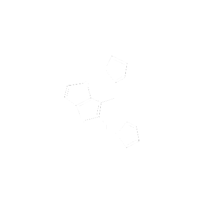 Fc1sc2ccsc2c1F.c1ccsc1.c1ccsc1